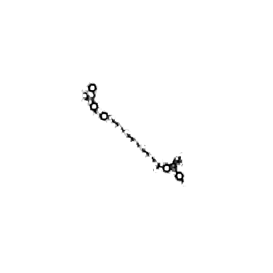 Cn1cc2c3cc(C(=O)NCCOCCOCCOCCOCCOCCOc4ccc(Oc5ccc(N(Cc6ccccc6)C(=O)CCl)cc5)cc4)ccc3n(-c3ccc(C(F)(F)F)cc3)c2n1